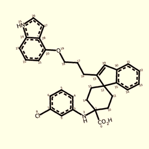 O=C(O)C1(Nc2cccc(Cl)c2)CCC2(CC1)C(CCCOc1cccc3[nH]ccc13)=Cc1ccccc12